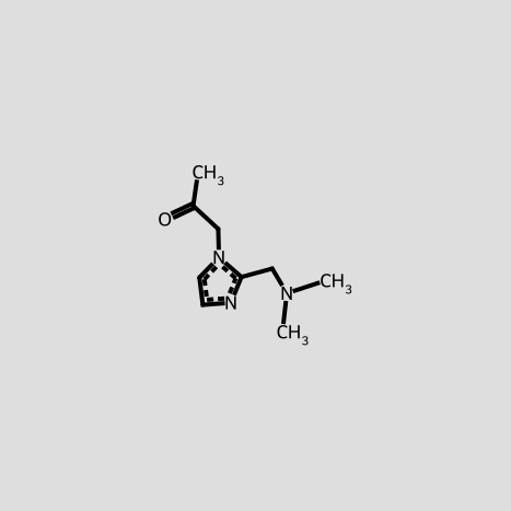 CC(=O)Cn1ccnc1CN(C)C